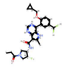 CCC(=O)N1C[C@@H](F)[C@@H](NC(=O)c2c(C)[nH]c3c(-c4cc(C(F)F)ccc4OCC4CC4)ncnc23)C1